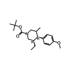 CC[C@H]1CN(C(=O)OC(C)(C)C)CC(C)[C@H]1c1ccc(OC)cc1